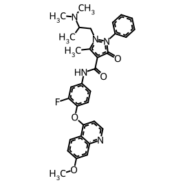 COc1ccc2c(Oc3ccc(NC(=O)c4c(C)n(CC(C)N(C)C)n(-c5ccccc5)c4=O)cc3F)ccnc2c1